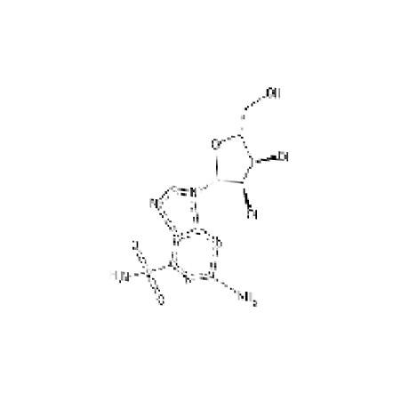 Nc1nc(S(N)(=O)=O)c2ncn([C@@H]3O[C@H](CO)[C@@H](O)[C@H]3O)c2n1